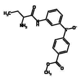 CCC(N)C(=O)Nc1cccc([S+]([O-])c2ccc(C(=O)OC)cc2)c1